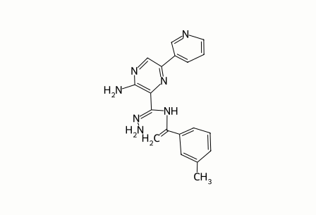 C=C(N/C(=N\N)c1nc(-c2cccnc2)cnc1N)c1cccc(C)c1